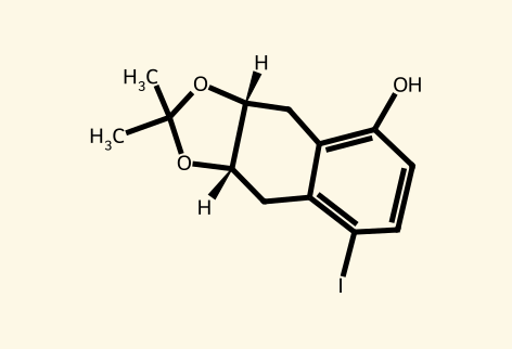 CC1(C)O[C@H]2Cc3c(I)ccc(O)c3C[C@H]2O1